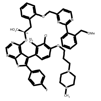 COCc1ccccc1-c1nccc(COc2ccccc2C[C@@H](Oc2ncnc3sc(-c4ccc(F)cc4)c(-c4ccc(OCCCN5CCN(C)CC5)c(Cl)c4C)c23)C(=O)O)n1